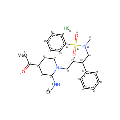 CCNC1CC(C(=O)OC)CCN1CCC(CN(C)S(=O)(=O)c1ccccc1)c1ccccc1.Cl